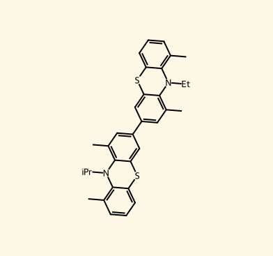 CCN1c2c(C)cccc2Sc2cc(-c3cc(C)c4c(c3)Sc3cccc(C)c3N4C(C)C)cc(C)c21